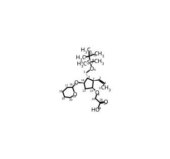 C/C=C\[C@@H]1[C@@H](CO[Si](C)(C)C(C)(C)C)[C@H](OC2CCCCO2)C[C@@H]1OCC(=O)O